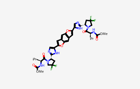 COC(=O)N[C@H](C(=O)N1CC(F)(F)C[C@H]1c1ncc(-c2cc3cc4oc(-c5cnc([C@@H]6CC(F)(F)CN6C(=O)[C@@H](NC(=O)OC)C(C)C)[nH]5)cc4cc3o2)[nH]1)C(C)C